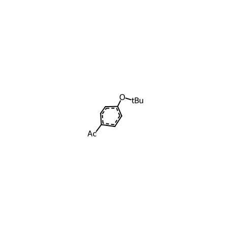 [CH2]C(=O)c1ccc(OC(C)(C)C)cc1